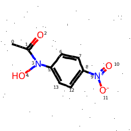 CC(=O)N(O)c1ccc([N+](=O)[O-])cc1